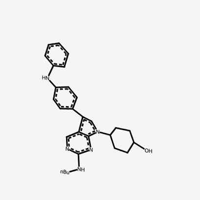 CCCCNc1ncc2c(-c3ccc(Nc4ccccc4)cc3)cn(C3CCC(O)CC3)c2n1